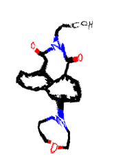 O=C(O)CN1C(=O)c2cccc3c(N4CCOCC4)ccc(c23)C1=O